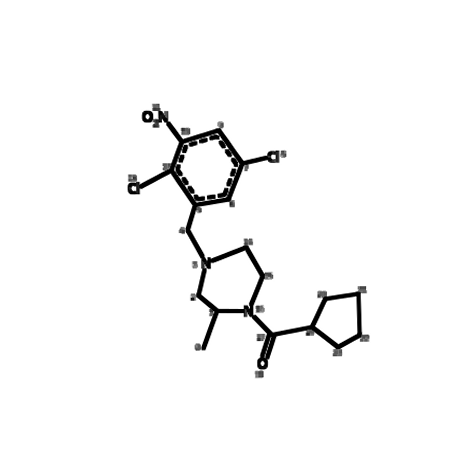 CC1CN(Cc2cc(Cl)cc([N+](=O)[O-])c2Cl)CCN1C(=O)C1CCCC1